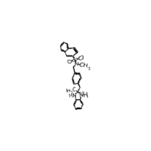 CN(Cc1ccc(CC2(C)Nc3ccccc3N2)cc1)S(=O)(=O)c1ccc2ccccc2c1